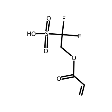 C=CC(=O)OCC(F)(F)S(=O)(=O)O